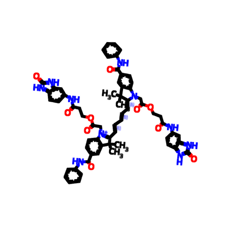 CC1(C)C(/C=C/C=C/C=C2/N(CC(=O)OCCC(=O)Nc3ccc4[nH]c(=O)[nH]c4c3)c3ccc(C(=O)Nc4ccccc4)cc3C2(C)C)=[N+](CC(=O)OCCC(=O)Nc2ccc3[nH]c(=O)[nH]c3c2)c2ccc(C(=O)Nc3ccccc3)cc21